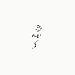 CCCCC(=O)OC1COC1